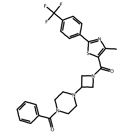 Cc1nc(-c2ccc(C(F)(F)F)cc2)sc1C(=O)N1CC(N2CCN(C(=O)c3ccccc3)CC2)C1